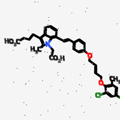 Cc1cc(Cl)cc(Cl)c1OCC=CCOc1ccc(C=Cc2cccc3c(CCCC(=O)O)c(C)n(CC(=O)O)c23)cc1